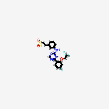 O=[SH](=O)CCc1cccc(Nc2ncnc(-c3ccc(F)cc3OCC(F)F)n2)c1